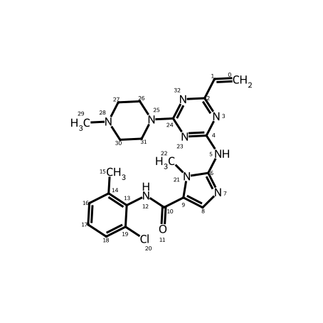 C=Cc1nc(Nc2ncc(C(=O)Nc3c(C)cccc3Cl)n2C)nc(N2CCN(C)CC2)n1